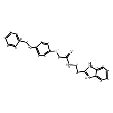 O=C(COc1ccc(OCc2ccccc2)cc1)NCCc1nc2ccccc2[nH]1